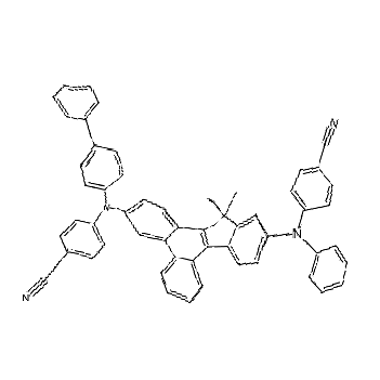 CC1(C)c2cc(N(c3ccccc3)c3ccc(C#N)cc3)ccc2-c2c1c1ccc(N(c3ccc(C#N)cc3)c3ccc(-c4ccccc4)cc3)cc1c1ccccc21